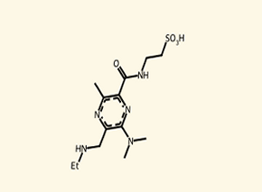 CCNCc1nc(C)c(C(=O)NCCS(=O)(=O)O)nc1N(C)C